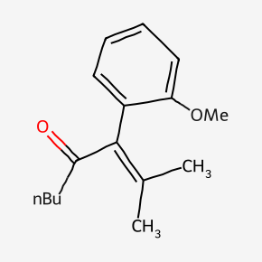 CCCCC(=O)C(=C(C)C)c1ccccc1OC